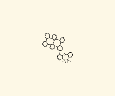 CC1(C)c2ccccc2Sc2c(-c3ccc4c(c3)c3cccc5c3-c3c(cccc3c3ccccc34)c3ccccc3c3ccccc53)cccc2C1(C)C